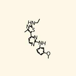 CCNc1nc(C)c(-c2ccnc(Nc3cccc(OC)c3)n2)s1